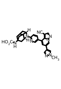 Cn1cc(-c2cc(-c3ccc(N4[C@@H]5CC6C[C@H]4CC(NC(=O)O)(C6)C5)nc3)c3c(C#N)cnn3c2)cn1